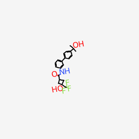 CC(C)(O)c1ccc(-c2cccc(NC(=O)C3CC(O)(C(F)(F)F)C3)c2)cc1